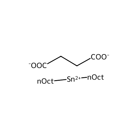 CCCCCCC[CH2][Sn+2][CH2]CCCCCCC.O=C([O-])CCC(=O)[O-]